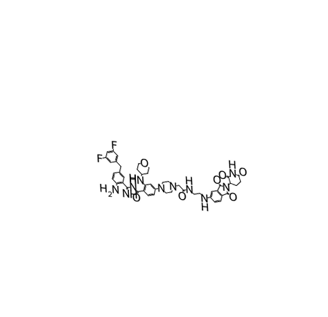 N=C(NC(=O)c1ccc(N2CCN(CC(=O)NCCNc3ccc4c(c3)C(=O)N(C3CCC(=O)NC3=O)C4=O)CC2)cc1NC1CCOCC1)c1cc(Cc2cc(F)cc(F)c2)ccc1N